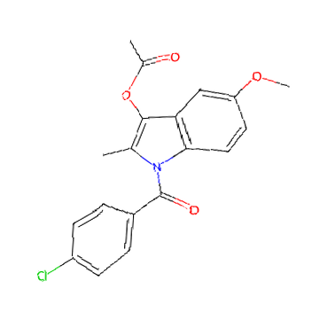 COc1ccc2c(c1)c(OC(C)=O)c(C)n2C(=O)c1ccc(Cl)cc1